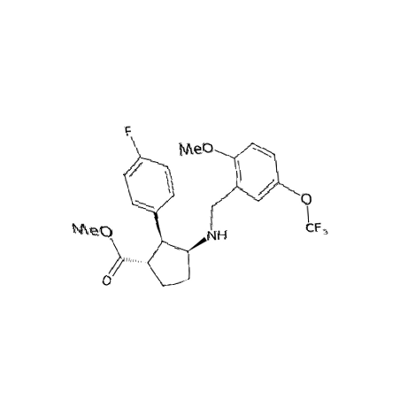 COC(=O)[C@H]1CC[C@H](NCc2cc(OC(F)(F)F)ccc2OC)[C@@H]1c1ccc(F)cc1